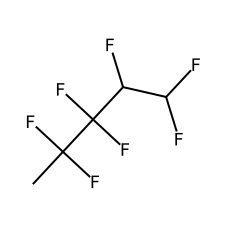 CC(F)(F)C(F)(F)C(F)C(F)F